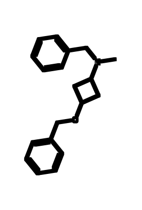 CN(Cc1ccccc1)C1CC(OCc2ccccc2)C1